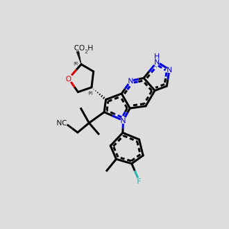 Cc1cc(-n2c(C(C)(C)CC#N)c([C@@H]3CO[C@@H](C(=O)O)C3)c3nc4[nH]ncc4cc32)ccc1F